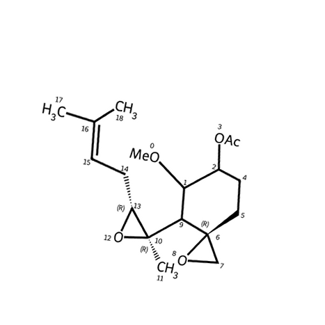 COC1C(OC(C)=O)CC[C@]2(CO2)C1[C@@]1(C)O[C@@H]1CC=C(C)C